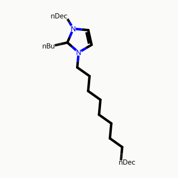 CCCCCCCCCCCCCCCCCCN1C=CN(CCCCCCCCCC)C1CCCC